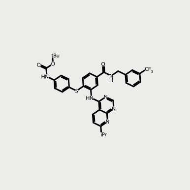 CC(C)c1ccc2c(Nc3cc(C(=O)NCc4cccc(C(F)(F)F)c4)ccc3Sc3ccc(NC(=O)OC(C)(C)C)cc3)ncnc2n1